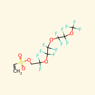 C=CS(=O)(=O)OCC(F)(F)OC(F)(F)C(F)(F)OC(F)(F)C(F)(F)OC(F)(F)F